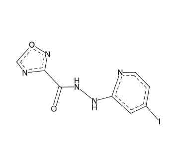 O=C(NNc1cc(I)ccn1)c1ncon1